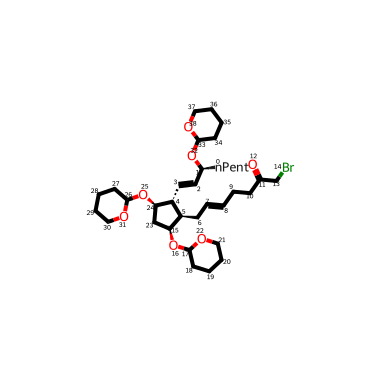 CCCCC[C@@H](C=C[C@@H]1[C@@H](CC=CCCC(=O)CBr)[C@@H](OC2CCCCO2)C[C@H]1OC1CCCCO1)OC1CCCCO1